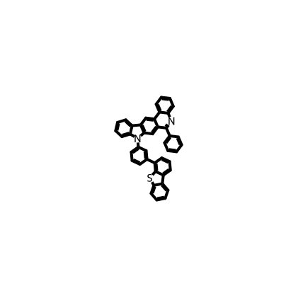 c1ccc(-c2nc3ccccc3c3cc4c5ccccc5n(-c5cccc(-c6cccc7c6sc6ccccc67)c5)c4cc23)cc1